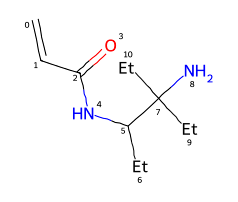 C=CC(=O)NC(CC)C(N)(CC)CC